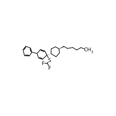 CCCCCC[C@H]1CC[C@H](C2(SC(F)F)C=CC(c3ccccc3)C=C2)CC1